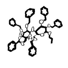 C=CCOC1O[C@H](COCc2ccccc2)[C@@H](O[C@H]2O[C@@H]3COC(c4ccccc4)O[C@H]3[C@H](OCc3ccccc3)[C@H]2OCc2ccccc2)[C@H](OCc2ccccc2)[C@H]1OCc1ccccc1